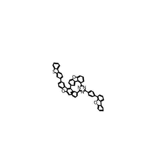 c1ccc(-c2nc(-c3ccc(-c4cccc5c4oc4ccccc45)cc3)nc(-c3cccc4oc5ccc(-c6cccc7oc8ccc(-c9ccc%10c(c9)sc9ccccc9%10)cc8c67)cc5c34)n2)cc1